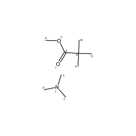 CN(C)C.[CH2]OC(=O)C(C)(C)C